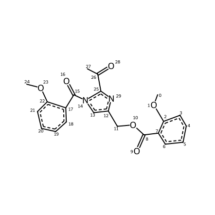 COc1ccccc1C(=O)OCc1cn(C(=O)c2ccccc2OC)c(C(C)=O)n1